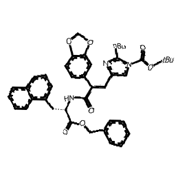 CCCCc1nc(CC(C(=O)N[C@@H](Cc2cccc3ccccc23)C(=O)OCc2ccccc2)c2ccc3c(c2)OCO3)cn1C(=O)OC(C)(C)C